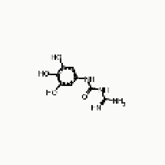 N=C(N)NC(=O)Nc1cc(O)c(O)c(O)c1